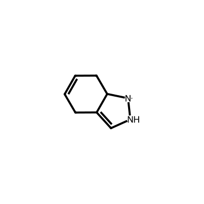 C1=CCC2[N]NC=C2C1